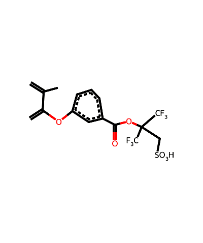 C=C(C)C(=C)Oc1cccc(C(=O)OC(CS(=O)(=O)O)(C(F)(F)F)C(F)(F)F)c1